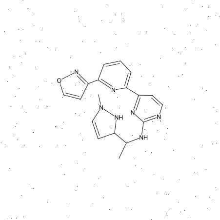 CC(Nc1nccc(-c2cccc(-c3ccon3)n2)n1)C1C=CN(C)N1